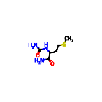 CSCCC(NC(N)=O)C(N)=O